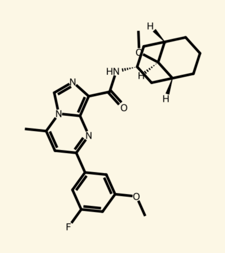 COc1cc(F)cc(-c2cc(C)n3cnc(C(=O)N[C@H]4C[C@H]5CCC[C@@H](C4)[C@@H]5OC)c3n2)c1